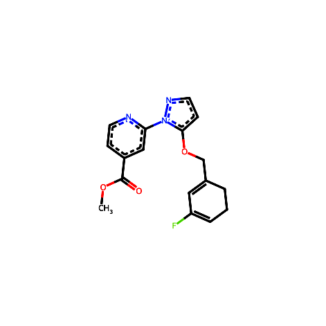 COC(=O)c1ccnc(-n2nccc2OCC2=CC(F)=CCC2)c1